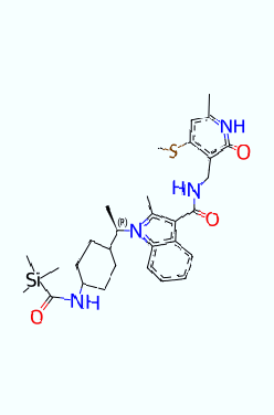 CSc1cc(C)[nH]c(=O)c1CNC(=O)c1c(C)n([C@H](C)C2CCC(NC(=O)[Si](C)(C)C)CC2)c2ccccc12